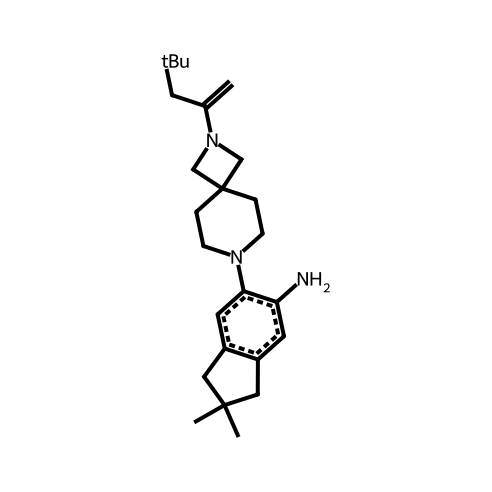 C=C(CC(C)(C)C)N1CC2(CCN(c3cc4c(cc3N)CC(C)(C)C4)CC2)C1